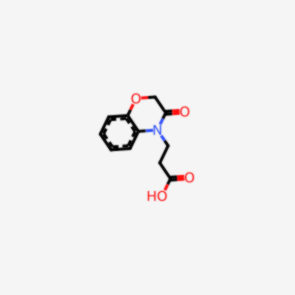 O=C(O)CCN1C(=O)COc2ccccc21